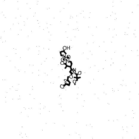 COCC(C)(C)C(=O)n1nc(C2CCN(S(=O)(=O)N3CCC(O)C3)C(=O)C2C)cc1OCc1ccc(Cl)s1